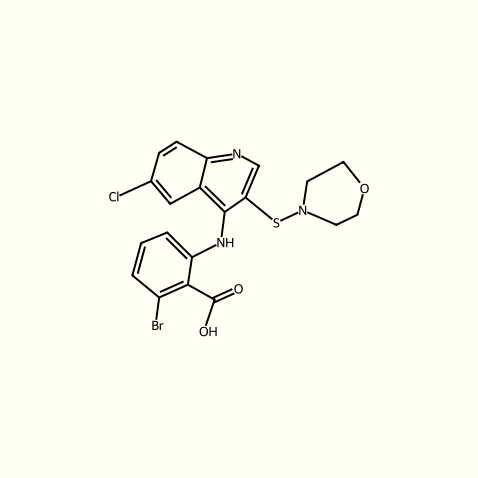 O=C(O)c1c(Br)cccc1Nc1c(SN2CCOCC2)cnc2ccc(Cl)cc12